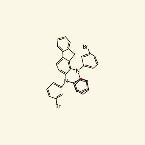 Brc1cccc(N(c2ccccc2)c2ccc3c(c2N(c2ccccc2)c2cccc(Br)c2)Cc2ccccc2-3)c1